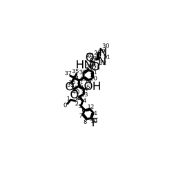 CCC[C@@]1(CCc2ccc(F)cc2)CC(O)=C(C(c2cccc(NS(=O)(=O)c3cn(C)cn3)c2)C(C)(C)C)C(=O)O1